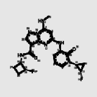 CNc1cc(Nc2cccn([C@H]3C[C@@H]3F)c2=O)nc2c(C(=O)N[C@H]3CC[C@@H]3F)cnn12